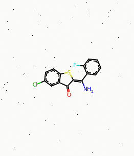 N/C(=C1/Sc2ccc(Cl)cc2C1=O)c1ccccc1F